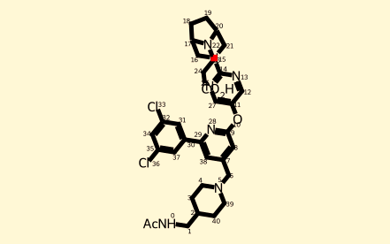 CC(=O)NCC1CCN(Cc2cc(Oc3cnc(N4CC5CCC(C4)N5CCC(=O)O)nc3)nc(-c3cc(Cl)cc(Cl)c3)c2)CC1